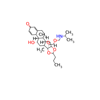 CCCC1O[C@@H]2C[C@H]3[C@@H]4CCC5=CC(=O)C=C[C@]5(C)[C@H]4[C@@H](O)C[C@]3(C)[C@]2(C(=O)COCNC(C)C)O1